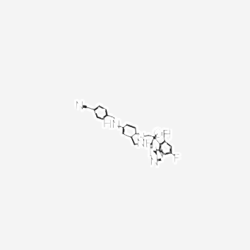 N#Cc1ccc(CNC2=CC3=CNN(CC(O)(Cn4cncn4)c4ccc(F)cc4F)C3C=C2)cc1